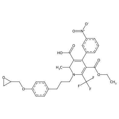 CCOC(=O)C1=C(C(F)(F)F)N(CCCc2ccc(OCC3CO3)cc2)C(C)C(C(=O)O)=C1c1cccc([N+](=O)[O-])c1